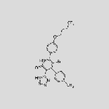 Cc1ccc(-c2c(Br)c(-c3ccc(OCCCC(F)(F)F)cc3)[nH]c(=O)c2-c2nnn[nH]2)cc1